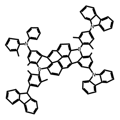 Cc1ccccc1N(c1ccccc1)c1cc(C)c2c(c1)-c1cc3ccc4c5c(cc6ccc(c1c6c35)B2c1c(C)cc(C2c3ccccc3-c3ccccc32)cc1C)-c1cc(-n2c3ccccc3c3ccccc32)cc(C)c1B4c1c(C)cc(-n2c3ccccc3c3ccccc32)cc1C